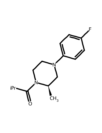 CC(C)C(=O)N1CCN(c2ccc(F)cc2)C[C@H]1C